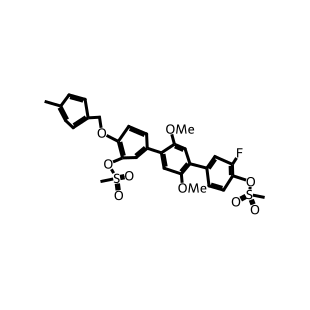 COc1cc(-c2ccc(OCc3ccc(C)cc3)c(OS(C)(=O)=O)c2)c(OC)cc1-c1ccc(OS(C)(=O)=O)c(F)c1